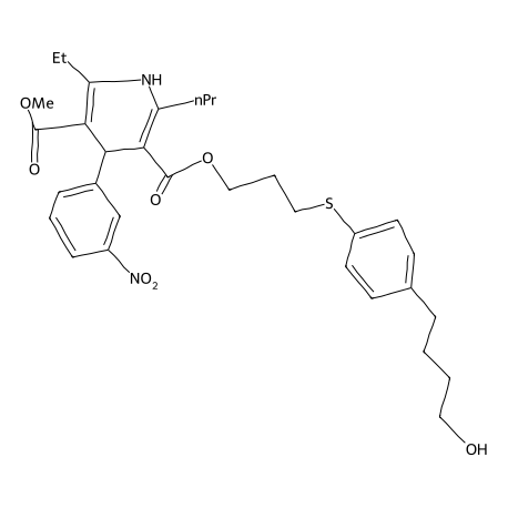 CCCC1=C(C(=O)OCCCSc2ccc(CCCCO)cc2)C(c2cccc([N+](=O)[O-])c2)C(C(=O)OC)=C(CC)N1